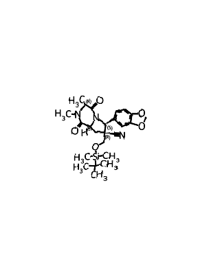 C[C@@H]1C(=O)N2[C@@H](c3ccc4c(c3)OCO4)[C@](C#N)(CO[Si](C)(C)C(C)(C)C)C[C@H]2C(=O)N1C